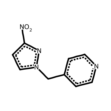 O=[N+]([O-])c1ccn(Cc2ccncc2)n1